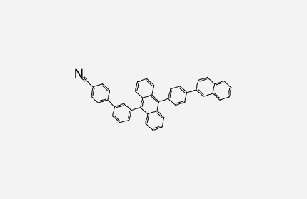 N#Cc1ccc(-c2cccc(-c3c4ccccc4c(-c4ccc(-c5ccc6ccccc6c5)cc4)c4ccccc34)c2)cc1